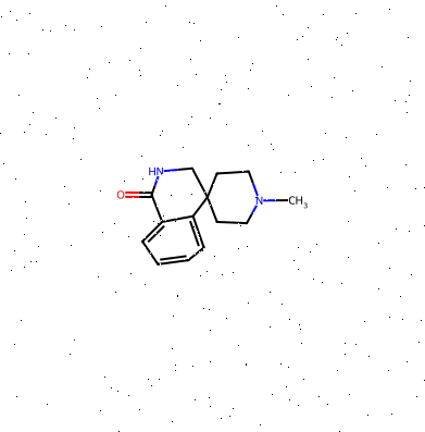 CN1CCC2(CC1)CNC(=O)c1ccccc12